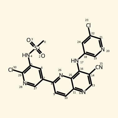 CS(=O)(=O)Nc1cc(-c2ccc3ncc(C#N)c(Nc4cncc(Cl)c4)c3n2)cnc1Cl